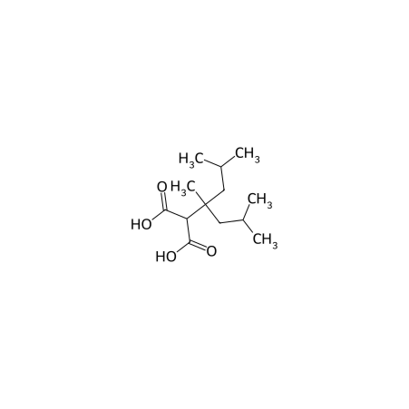 CC(C)CC(C)(CC(C)C)C(C(=O)O)C(=O)O